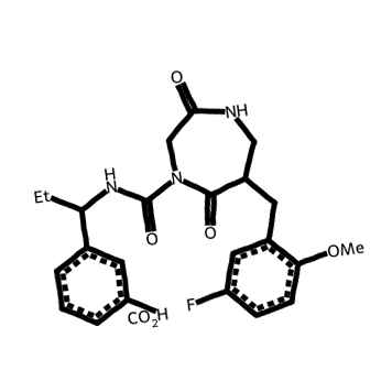 CCC(NC(=O)N1CC(=O)NCC(Cc2cc(F)ccc2OC)C1=O)c1cccc(C(=O)O)c1